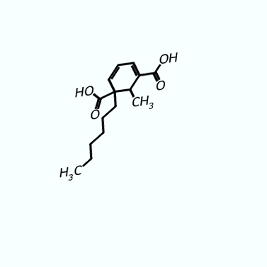 CCCCCCC1(C(=O)O)C=CC=C(C(=O)O)C1C